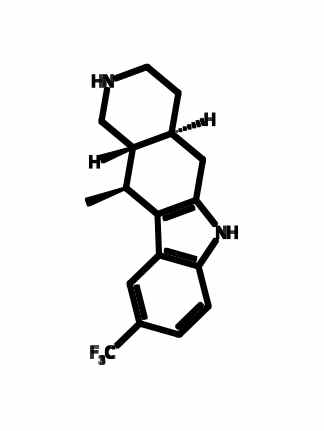 C[C@@H]1c2c([nH]c3ccc(C(F)(F)F)cc23)C[C@@H]2CCNC[C@H]21